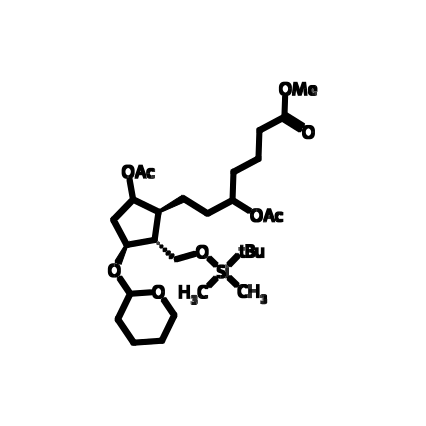 COC(=O)CCCC(CC[C@@H]1C(OC(C)=O)C[C@H](OC2CCCCO2)[C@H]1CO[Si](C)(C)C(C)(C)C)OC(C)=O